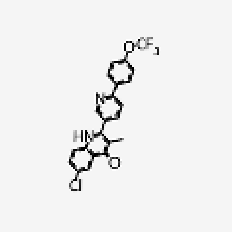 Cc1c(-c2ccc(-c3ccc(OC(F)(F)F)cc3)nc2)[nH]c2ccc(Cl)cc2c1=O